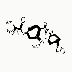 CCOc1cc(NC(=O)[C@@H](O)C(C)C)ccc1S(=O)(=O)Nc1ccc(C(F)(F)F)cc1